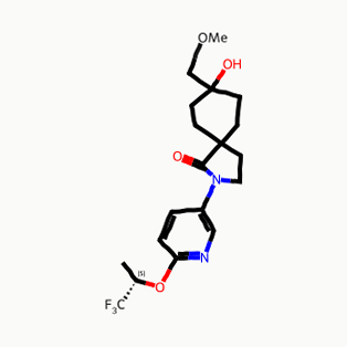 COCC1(O)CCC2(CCN(c3ccc(O[C@@H](C)C(F)(F)F)nc3)C2=O)CC1